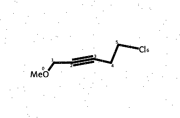 COCC#CCCCl